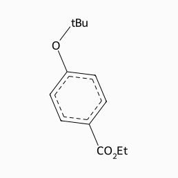 CCOC(=O)c1ccc(OC(C)(C)C)cc1